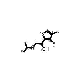 Cc1csc(C(O)CNC(C)C)c1F